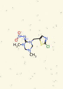 CN1CN(C)/C(=N\[N+](=O)[O-])N(Cc2cnc(Cl)s2)C1